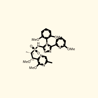 COc1cccc(-c2nnc(NS(=O)(=O)[C@@H](C)[C@@H](OC)c3ncc(C)nc3OC)n2-c2c(OC)cccc2OC)n1